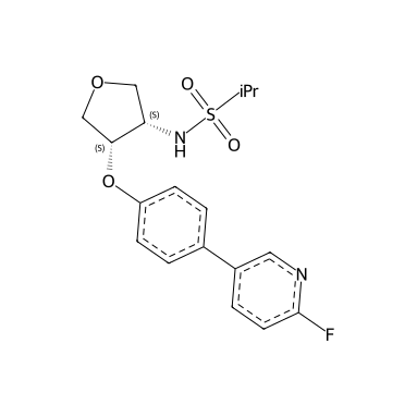 CC(C)S(=O)(=O)N[C@H]1COC[C@H]1Oc1ccc(-c2ccc(F)nc2)cc1